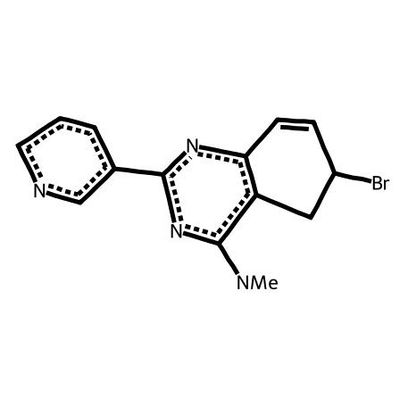 CNc1nc(-c2cccnc2)nc2c1CC(Br)C=C2